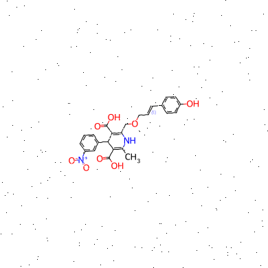 CC1=C(C(=O)O)C(c2cccc([N+](=O)[O-])c2)C(C(=O)O)=C(COC/C=C/c2ccc(O)cc2)N1